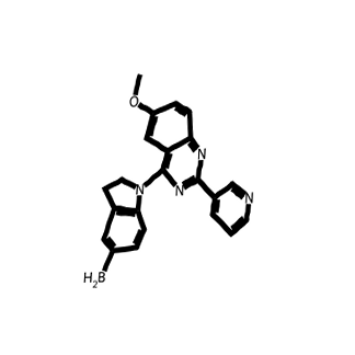 Bc1ccc2c(c1)CCN2c1nc(-c2cccnc2)nc2ccc(OC)cc12